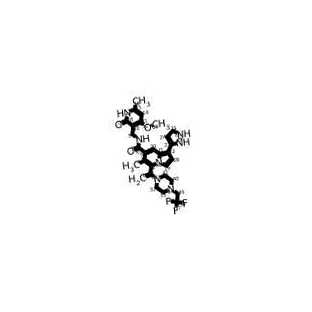 C=C(c1c(C)c(C(=O)NCc2c(OC)cc(C)[nH]c2=O)cc2c(C3=CCNN3)ccn12)N1CCN(CC(F)(F)F)CC1